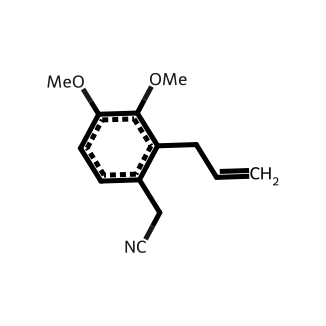 C=CCc1c(CC#N)ccc(OC)c1OC